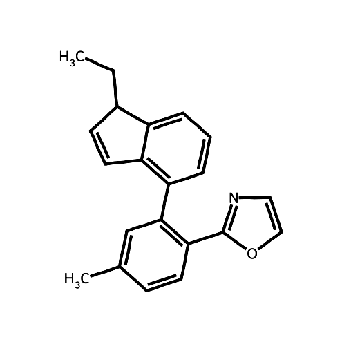 CCC1C=Cc2c(-c3cc(C)ccc3-c3ncco3)cccc21